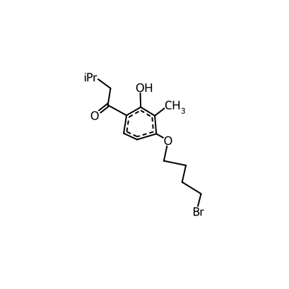 Cc1c(OCCCCBr)ccc(C(=O)CC(C)C)c1O